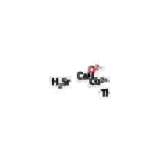 [CaH2].[Cu+2].[O-2].[SrH2].[Tl]